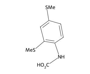 CSc1ccc(NC(=O)O)c(SC)c1